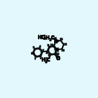 Cc1c(-c2ccccc2)cc2n(c1=O)CCCN2C.Cl